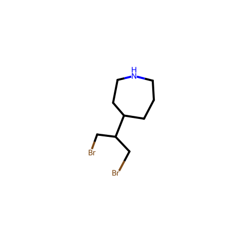 BrCC(CBr)C1CCCNCC1